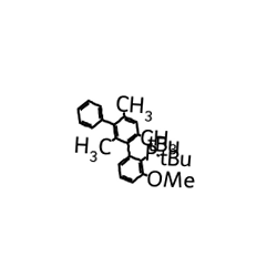 COc1cccc(-c2c(C)cc(C)c(-c3ccccc3)c2C)c1P(C(C)(C)C)C(C)(C)C